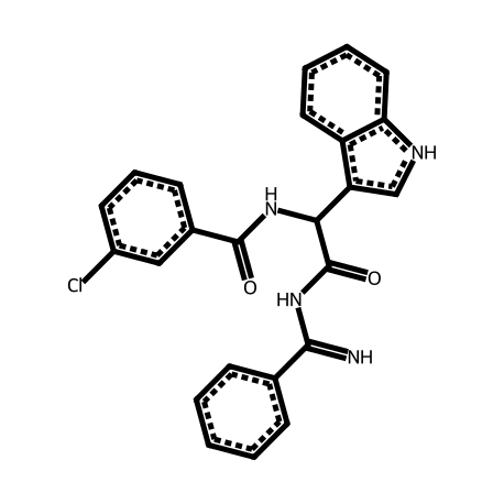 N=C(NC(=O)C(NC(=O)c1cccc(Cl)c1)c1c[nH]c2ccccc12)c1ccccc1